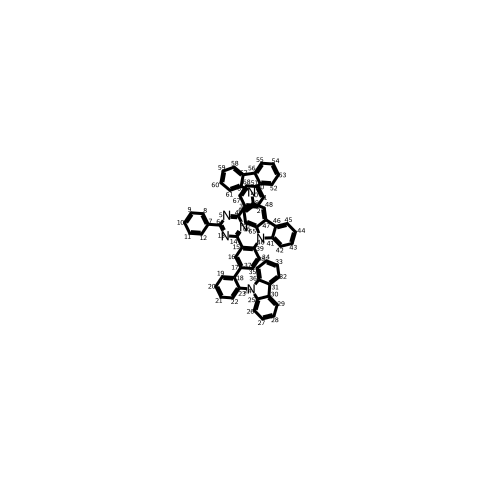 c1ccc(-c2nc(-c3ccccc3)nc(-c3cc(-c4ccccc4-n4c5ccccc5c5ccccc54)ccc3-n3c4ccccc4c4cc(-n5c6ccccc6c6ccccc65)ccc43)n2)cc1